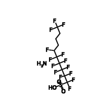 N.O=S(=O)(O)C(F)(F)C(F)(F)C(F)(F)C(F)(F)C(F)(F)C(F)CCCC(F)(F)F